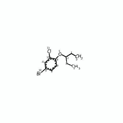 CCC(CC)Oc1ccc(Br)cc1Cl